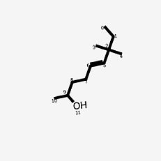 CCC(C)(C)C=CCCC(C)O